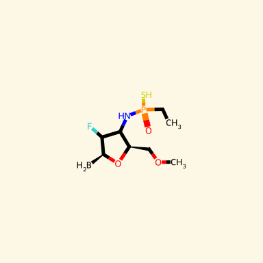 B[C@@H]1O[C@H](COC)C(NP(=O)(S)CC)C1F